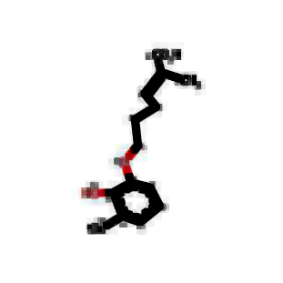 CC(=CCCCOc1cccc(C(C)(C)C)c1O)C(=O)O